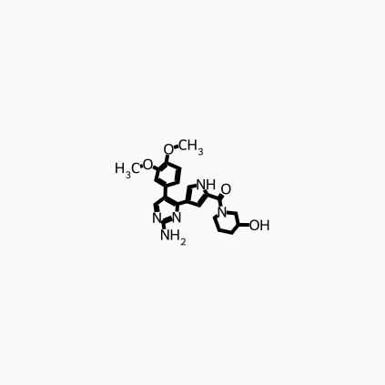 COc1ccc(-c2cnc(N)nc2-c2c[nH]c(C(=O)N3CCCC(O)C3)c2)cc1OC